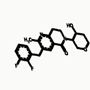 Cc1nc2c(cc1Cc1cccc(F)c1F)C(=O)N(C1COCCC1O)CC2